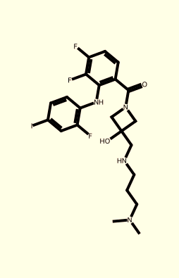 CN(C)CCCNCC1(O)CN(C(=O)c2ccc(F)c(F)c2Nc2ccc(I)cc2F)C1